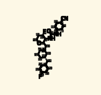 N#Cc1ccc(NC(=O)N[C@@H]2[C@@H](F)CCO[C@@H]2CN2CCC[C@@H](Cc3ccc(F)cc3)C2)cc1